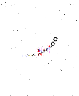 NCCSCCCOC(O)(CC(O)C(C[C@@H](O)[C@H](O)CNC(=O)Cc1ccc(-c2ccccc2)cc1)NC(=O)CO)C(=O)O